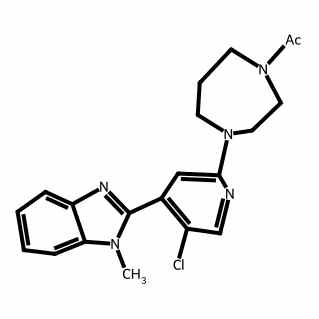 CC(=O)N1CCCN(c2cc(-c3nc4ccccc4n3C)c(Cl)cn2)CC1